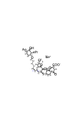 CCCc1c(OCCCC/C=C\C=C\[C@H](Sc2ccc3c(=O)cc(C(=O)[O-])oc3c2)[C@H](O)c2ccc(C(F)(F)F)o2)ccc(C(C)=O)c1O.[Na+]